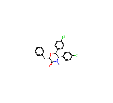 CN1C(=O)[C@H](Cc2ccccc2)O[C@@H](c2ccc(Cl)cc2)[C@H]1c1ccc(Cl)cc1